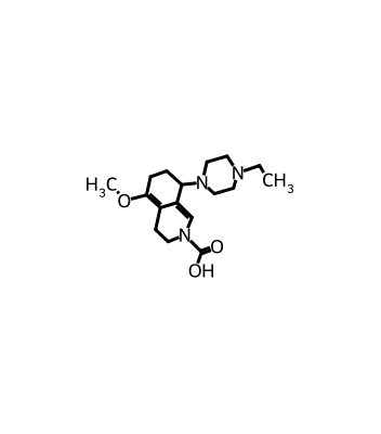 CCN1CCN(C2CCC(OC)=C3CCN(C(=O)O)C=C32)CC1